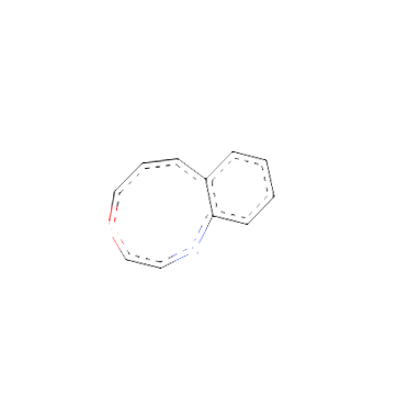 c1ccc2nccocccc2c1